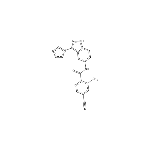 Cc1cc(C#N)cnc1C(=O)Nc1ccc2[nH]nc(-n3ccnc3)c2c1